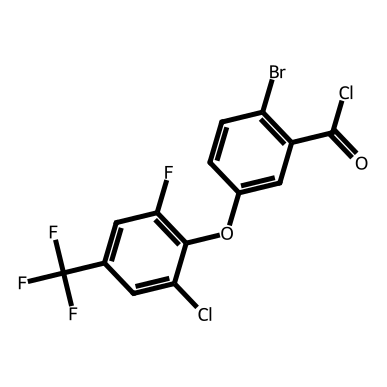 O=C(Cl)c1cc(Oc2c(F)cc(C(F)(F)F)cc2Cl)ccc1Br